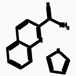 NC(=S)c1ccc2ccccc2n1.c1ccsc1